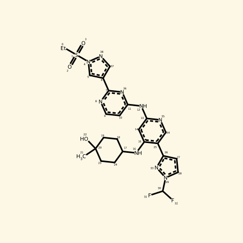 CCS(=O)(=O)n1cc(-c2nccc(Nc3cc(NC4CCC(C)(O)CC4)c(-c4ccn(C(F)F)n4)cn3)n2)cn1